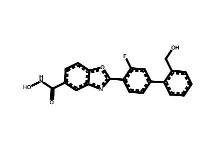 O=C(NO)c1ccc2oc(-c3ccc(-c4ccccc4CO)cc3F)nc2c1